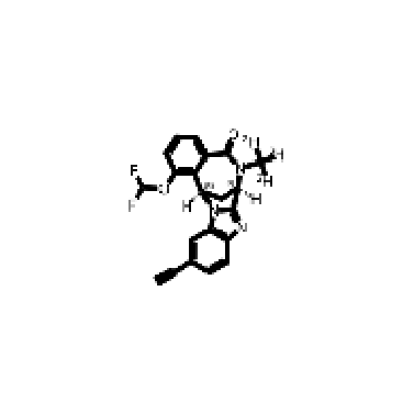 [2H]C([2H])([2H])N1C(=O)c2cccc(OC(F)F)c2[C@H]2C[C@@H]1c1nc3ccc(C#C)cc3n12